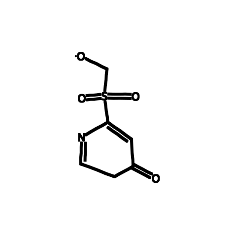 [O]CS(=O)(=O)C1=CC(=O)CC=N1